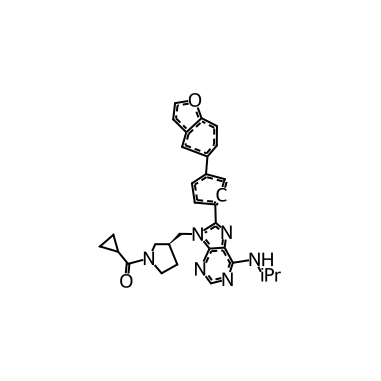 CC(C)Nc1ncnc2c1nc(-c1ccc(-c3ccc4occc4c3)cc1)n2C[C@H]1CCN(C(=O)C2CC2)C1